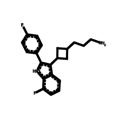 NCCCC1CC(c2c(-c3ccc(F)cc3)[nH]c3c(F)cccc23)C1